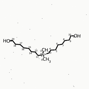 C[N+](C)(CCCCCCCCO)CCCCCCCCO